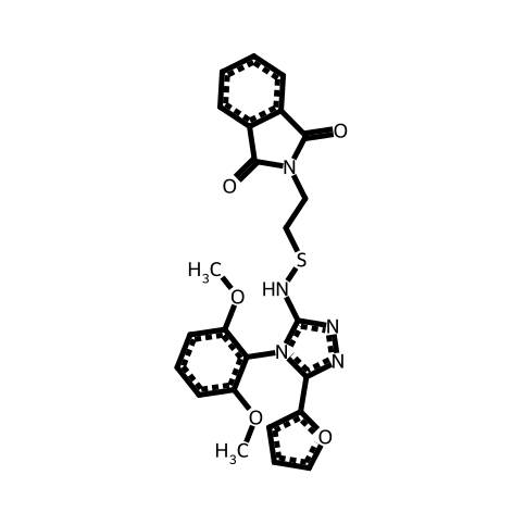 COc1cccc(OC)c1-n1c(NSCCN2C(=O)c3ccccc3C2=O)nnc1-c1ccco1